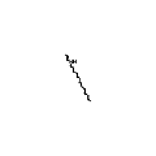 CCCCCCCCCCCCCCNCCC